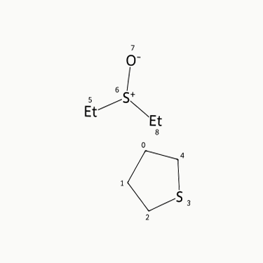 C1CCSC1.CC[S+]([O-])CC